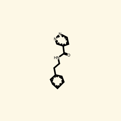 O=C(NCCc1ccccc1)c1ccnnc1